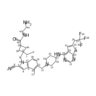 CCC1(Cn2c(C#N)cc3c(C)c(CN4CCC(Nc5ncnc6sc(CC(F)(F)F)cc56)CC4)ccc32)CC(C(=O)NCCN)C1